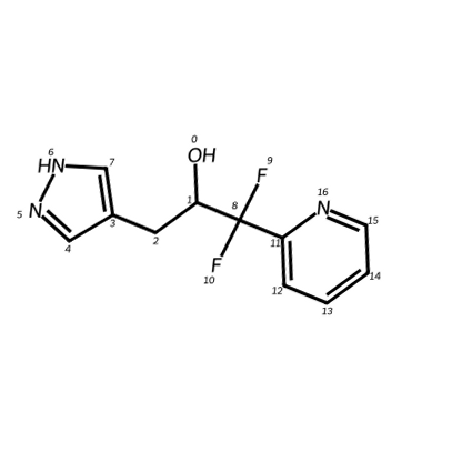 OC(Cc1cn[nH]c1)C(F)(F)c1ccccn1